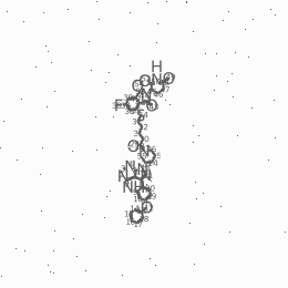 Nc1ncnc2c1c(-c1ccc(Oc3ccccc3)cc1)nn2C1CCCN(C(=O)CCCCSc2cc(F)cc3c2C(=O)N(C2CCC(=O)NC2=O)C3=O)C1